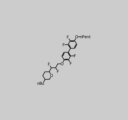 CCCCCOc1ccc(-c2ccc(OCC(F)C(F)C3CCC(CCCC)CO3)c(F)c2F)c(F)c1F